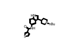 CCCCN1CCC(c2c[nH]c3ccc(NC(=O)c4ccsc4)cc23)CC1